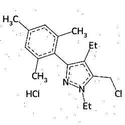 CCc1c(-c2c(C)cc(C)cc2C)nn(CC)c1CCl.Cl